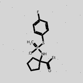 C=P(Cl)(NC1(C(=O)CC)CCCC1)Sc1ccc(F)cc1